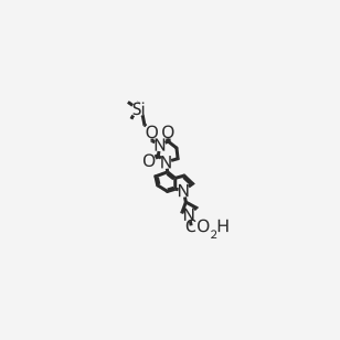 C[Si](C)(C)CCOCN1C(=O)CCN(c2cccc3c2ccn3C2CN(C(=O)O)C2)C1=O